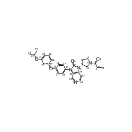 C=CC(=O)N1CC[C@@H](n2c(=O)n(-c3ccc(Oc4cccc(OC(C)C)c4)cc3)c3cnccc32)C1